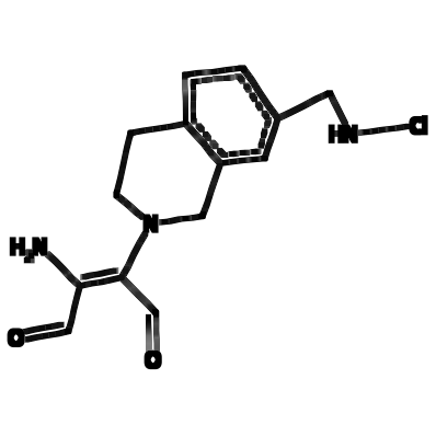 N/C(C=O)=C(/C=O)N1CCc2ccc(CNCl)cc2C1